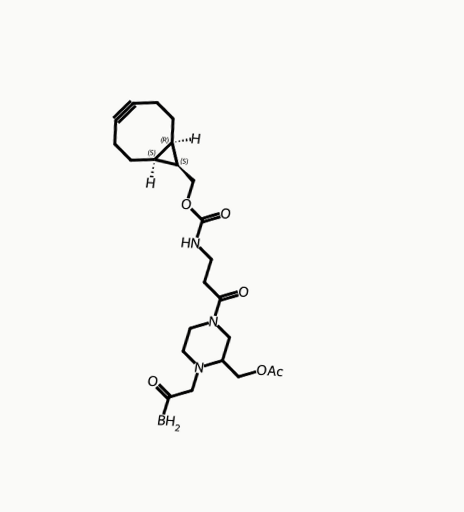 BC(=O)CN1CCN(C(=O)CCNC(=O)OC[C@@H]2[C@@H]3CCC#CCC[C@@H]32)CC1COC(C)=O